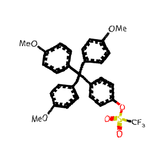 COc1ccc(C(c2ccc(OC)cc2)(c2ccc(OC)cc2)c2ccc(OS(=O)(=O)C(F)(F)F)cc2)cc1